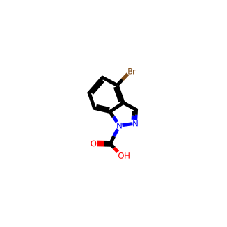 O=C(O)n1ncc2c(Br)cccc21